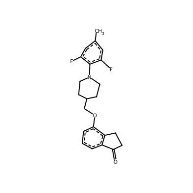 Cc1cc(F)c(N2CCC(COc3cccc4c3CCC4=O)CC2)c(F)c1